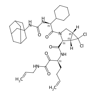 C=CCC[C@H](NC(=O)[C@@H]1[C@@H]2[C@H](CN1C(=O)[C@@H](NC(=O)NC13CC4CC(CC(C4)C1)C3)C1CCCCC1)C2(Cl)Cl)C(=O)C(=O)NCC=C